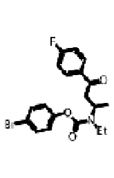 CCN(C(=O)Oc1ccc(Br)cc1)C(C)CC(=O)c1ccc(F)cc1